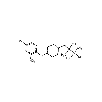 CC(C)(CC1CCC(Oc2ccc(Cl)cc2[N+](=O)[O-])CC1)[Si](C)(C)O